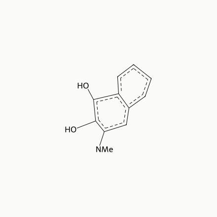 CNc1cc2ccccc2c(O)c1O